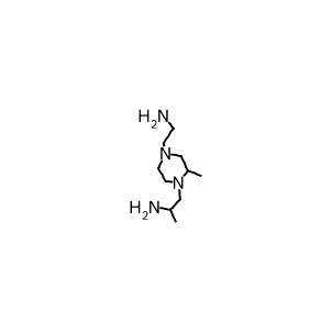 CC(N)CN1CCN(CCN)CC1C